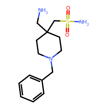 NCC1(CS(N)(=O)=O)CCN(Cc2ccccc2)CC1